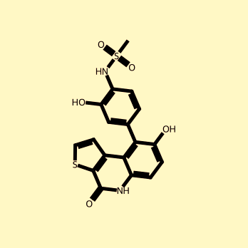 CS(=O)(=O)Nc1ccc(-c2c(O)ccc3[nH]c(=O)c4sccc4c23)cc1O